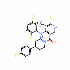 Cc1c(S)ncc(C(=O)N2CCC(c3ccc(F)cc3)CC2)c1Nc1cc(F)cc(F)c1F